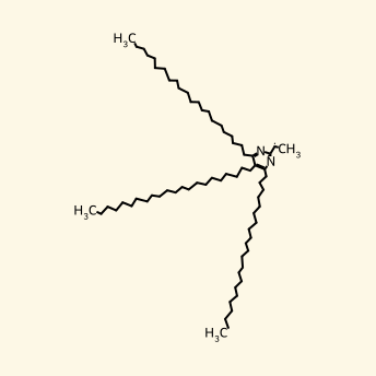 C[CH]c1nc(CCCCCCCCCCCCCCCCCCCCCC)c(CCCCCCCCCCCCCCCCCCCCCC)c(CCCCCCCCCCCCCCCCCCCCCC)n1